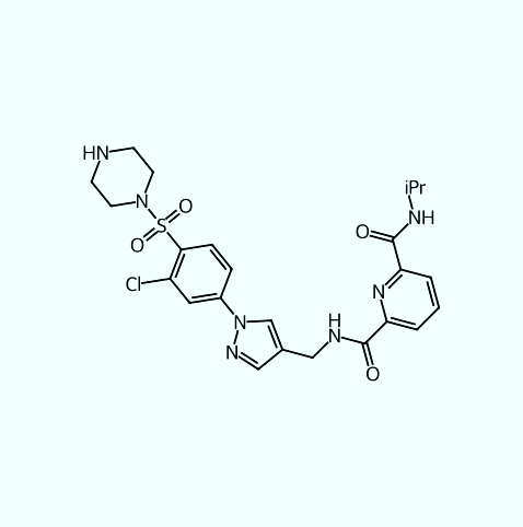 CC(C)NC(=O)c1cccc(C(=O)NCc2cnn(-c3ccc(S(=O)(=O)N4CCNCC4)c(Cl)c3)c2)n1